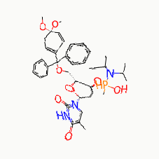 COC1(OC)C=CC(C(OC[C@H]2O[C@@H](n3cc(C)c(=O)[nH]c3=O)C[C@@H]2O[PH](C)(O)N(C(C)C)C(C)C)(c2ccccc2)c2ccccc2)=CC1